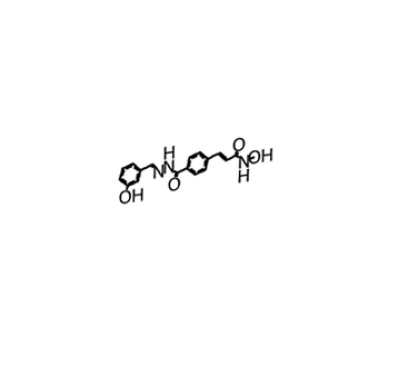 O=C(/C=C/c1ccc(C(=O)N/N=C/c2cccc(O)c2)cc1)NO